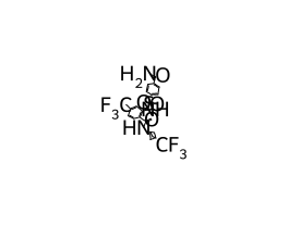 NC(=O)c1ccc(S(=O)(=O)Nc2cc(C(F)(F)F)ccc2C(=O)NC23CC(C(F)(F)F)(C2)C3)cc1